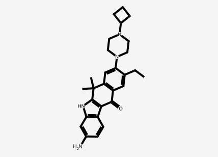 CCc1cc2c(cc1N1CCN(C3CCC3)CC1)C(C)(C)c1[nH]c3cc(N)ccc3c1C2=O